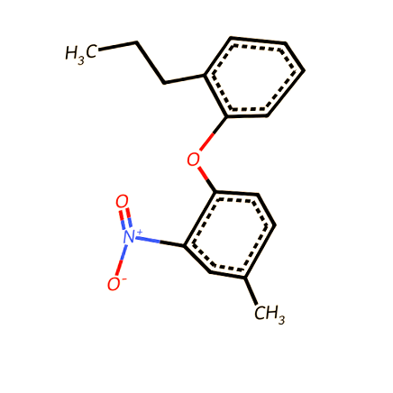 CCCc1ccccc1Oc1ccc(C)cc1[N+](=O)[O-]